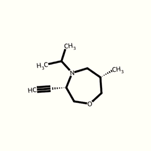 C#C[C@H]1COC[C@@H](C)CN1C(C)C